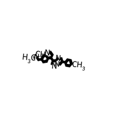 Cc1ccc(-c2cnc3c(-c4ccnc5cc(CN(C)C)ccc45)cnn3c2)cc1